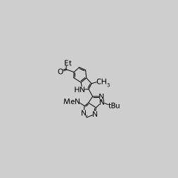 CCC(=O)c1ccc2c(C)c(-c3nn(C(C)(C)C)c4ncnc(NC)c34)[nH]c2c1